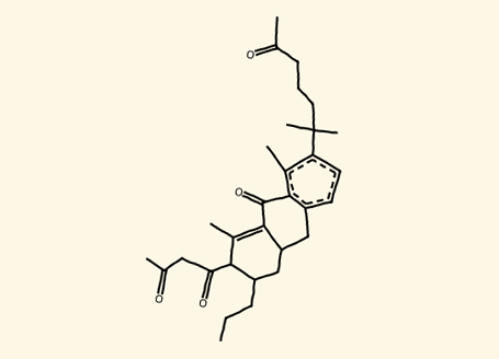 CCCC1CC2Cc3ccc(C(C)(C)CCCC(C)=O)c(C)c3C(=O)C2=C(C)C1C(=O)CC(C)=O